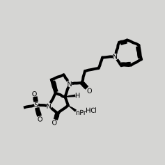 CCC[C@H]1C(=O)N(S(C)(=O)=O)C2=CCN(C(=O)CCCN3C=CC=CC=C3)[C@@H]21.Cl